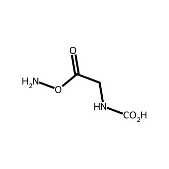 NOC(=O)CNC(=O)O